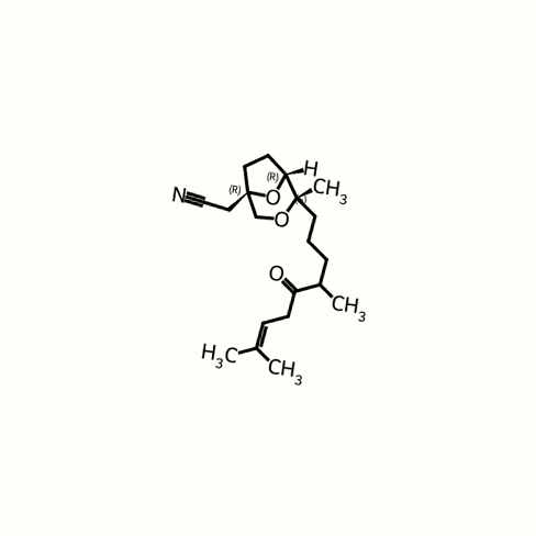 CC(C)=CCC(=O)C(C)CCC[C@]1(C)OC[C@]2(CC#N)CC[C@H]1O2